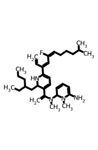 C=C/C(=C\C(F)=C/CCCC(C)C)C1=CC=C(C(=C)N(C)C2C=CC=C(N)N2C)C(CC(CC)CCC)N1